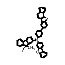 CC1(C)c2ccccc2-c2ccc(N(c3ccc(-c4ccc5sc6c7ccccc7ccc6c5c4)cc3)c3ccc4c(c3)oc3ccccc34)cc21